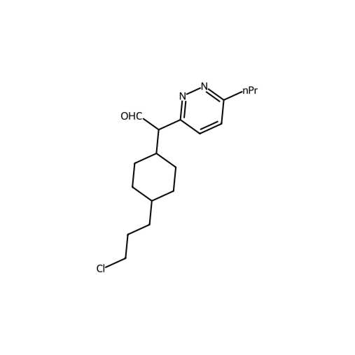 CCCc1ccc(C(C=O)C2CCC(CCCCl)CC2)nn1